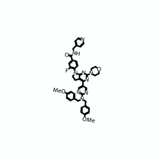 COc1ccc(CN(Cc2ccc(OC)cc2)c2ncc(-c3nc(N4CCOCC4)nc4c3CCN4c3ccc(C(=O)NCc4ccncc4)cc3F)cn2)cc1